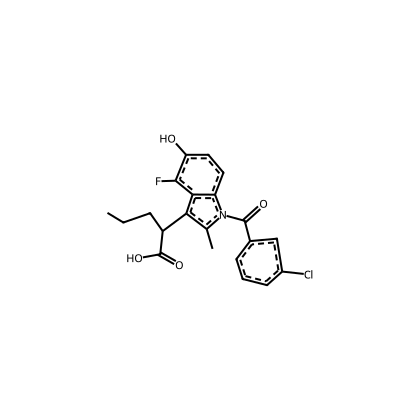 CCCC(C(=O)O)c1c(C)n(C(=O)c2cccc(Cl)c2)c2ccc(O)c(F)c12